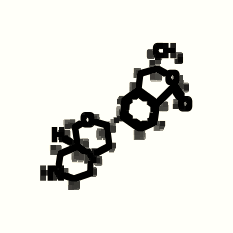 C[C@H]1Cc2cc([C@@H]3CN4CCNC[C@@H]4CO3)ccc2C(=O)O1